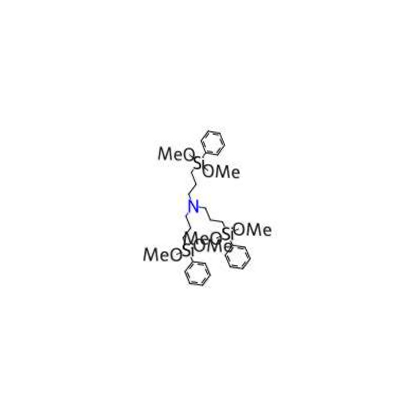 CO[Si](CCCN(CCC[Si](OC)(OC)c1ccccc1)CCC[Si](OC)(OC)c1ccccc1)(OC)c1ccccc1